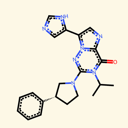 CC(C)n1c(N2CC[C@H](c3ccccc3)C2)nn2c(-c3cnc[nH]3)cnc2c1=O